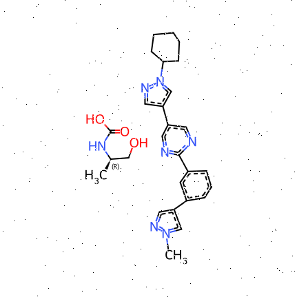 C[C@H](CO)NC(=O)O.Cn1cc(-c2cccc(-c3ncc(-c4cnn(C5CCCCC5)c4)cn3)c2)cn1